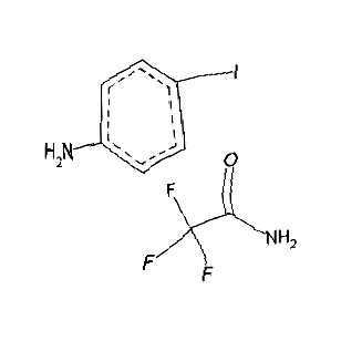 NC(=O)C(F)(F)F.Nc1ccc(I)cc1